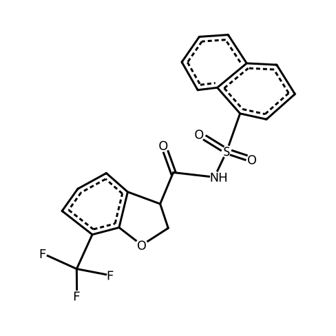 O=C(NS(=O)(=O)c1cccc2ccccc12)C1COc2c1cccc2C(F)(F)F